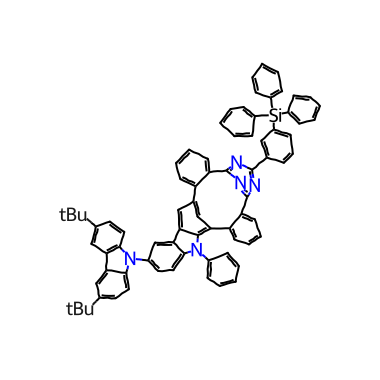 CC(C)(C)c1ccc2c(c1)c1cc(C(C)(C)C)ccc1n2-c1ccc2c(c1)c1cc3cc(c4ccccc4c4nc(-c5cccc([Si](c6ccccc6)(c6ccccc6)c6ccccc6)c5)nc(n4)c4ccccc34)c1n2-c1ccccc1